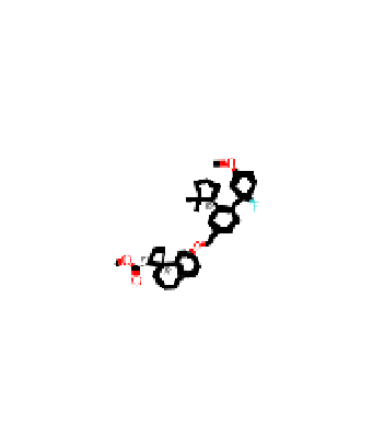 COC(=O)[C@@H]1CC[C@@]12CCCc1ccc(OCc3ccc(-c4cc(OC)ccc4F)c([C@@H]4CCCC4(C)C)c3)cc12